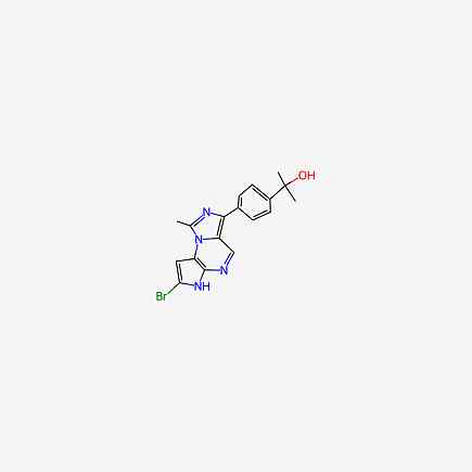 Cc1nc(-c2ccc(C(C)(C)O)cc2)c2cnc3[nH]c(Br)cc3n12